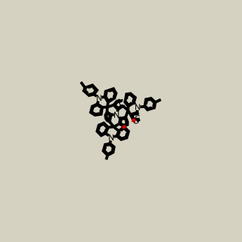 Cc1ccc(N2c3ccccc3C3(c4ccccc42)c2cccc4c2N2c5c3cccc5C3(c5ccccc5N(c5ccc(C)cc5)c5ccccc53)c3cccc(c32)C42c3ccccc3N(c3ccc(C)cc3)c3ccccc32)cc1